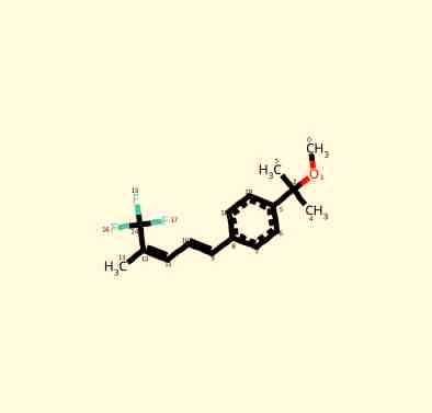 COC(C)(C)c1ccc(/C=C/C=C(/C)C(F)(F)F)cc1